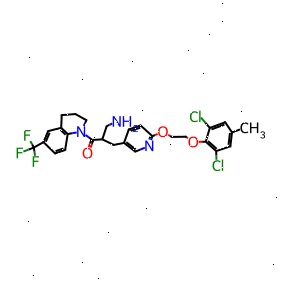 Cc1cc(Cl)c(OCCOc2ccc(CC(CN)C(=O)N3CCCc4cc(C(F)(F)F)ccc43)cn2)c(Cl)c1